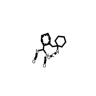 O=C=NC(N=C=O)c1ccccc1CC1(N=C=O)CCCCC1